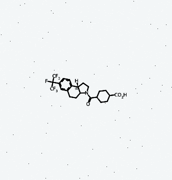 O=C(O)C1CCC(C(=O)N2CC[C@H]3c4ccc(C(F)(C(F)(F)F)C(F)(F)F)cc4CCC32)CC1